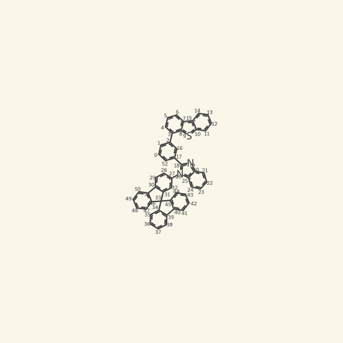 c1cc(-c2cccc3c2sc2ccccc23)cc(-c2nc3ccccc3n2-c2ccc3c(c2)C2(c4ccccc4-c4ccccc42)c2ccccc2-3)c1